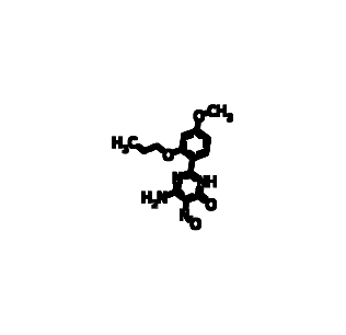 CCCOc1cc(OC)ccc1-c1nc(N)c(N=O)c(=O)[nH]1